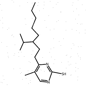 CCCCCC(CCc1nc(S)ncc1C)C(C)C